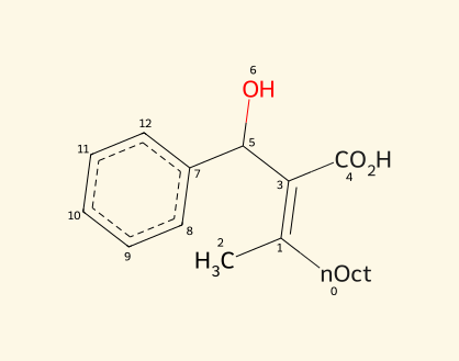 CCCCCCCCC(C)=C(C(=O)O)C(O)c1ccccc1